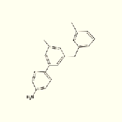 Cc1cccc(Cc2cc(C)cc(-c3ccc(N)cc3)c2)c1